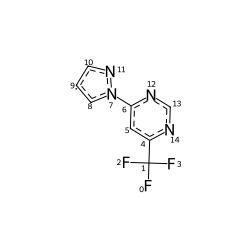 FC(F)(F)c1cc(-n2c[c]cn2)ncn1